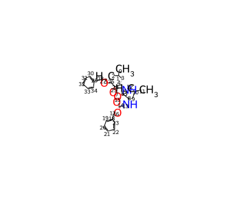 CC(C)C[C@H](NC(=O)[C@H](CC(C)C)NC(=O)OCc1ccccc1)C(=O)COCc1ccccc1